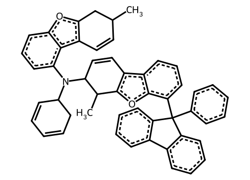 CC1C=Cc2c(oc3cccc(N(C4C=CC=CC4)C4C=Cc5c(oc6c(C7(c8ccccc8)c8ccccc8-c8ccccc87)cccc56)C4C)c23)C1